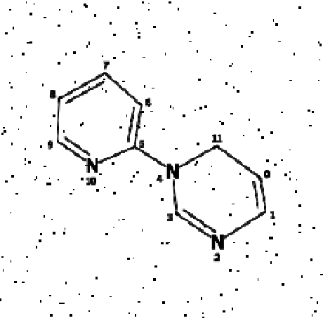 C1=CN=CN(c2ccccn2)C1